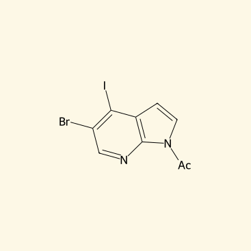 CC(=O)n1ccc2c(I)c(Br)cnc21